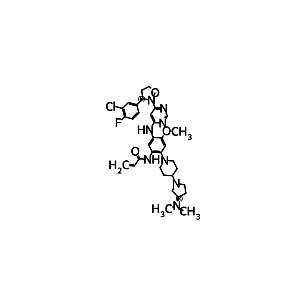 C=CC(=O)Nc1cc(Nc2cc(N3OCC[C@@H]3c3ccc(F)c(Cl)c3)ncn2)c(OC)cc1N1CCC(N2CC[C@@H](N(C)C)C2)CC1